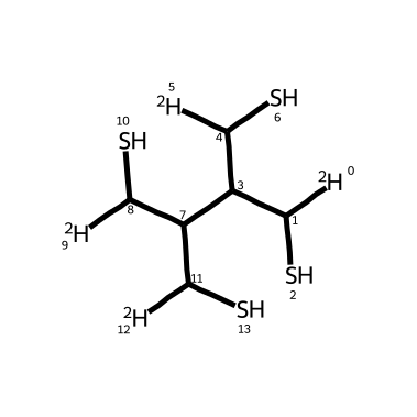 [2H]C(S)C(C([2H])S)C(C([2H])S)C([2H])S